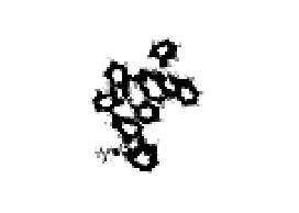 Cn1c2ccccc2c2ccc(-c3cccc4c5cccc(-c6ccc7c8ccccc8n(-c8ccccc8)c7c6)c5n(-c5ccccc5)c34)cc21